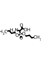 CCCCOP(=O)(OCCCC)C(N)C(=O)O